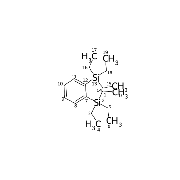 CC[Si](CC)(CC)c1ccccc1[Si](CC)(CC)CC